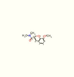 COc1cccc2c1OCC(C(=O)N(C)C)=C2